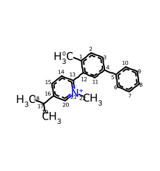 Cc1ccc(-c2ccccc2)cc1-c1ccc(C(C)C)c[n+]1C